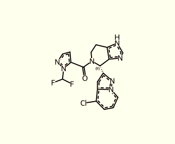 O=C(c1ccnn1C(F)F)N1CCc2[nH]cnc2[C@@H]1c1cc2c(Cl)cccn2n1